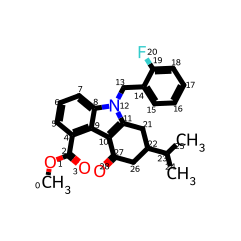 COC(=O)c1cccc2c1c1c(n2Cc2ccccc2F)CC(C(C)C)CC1=O